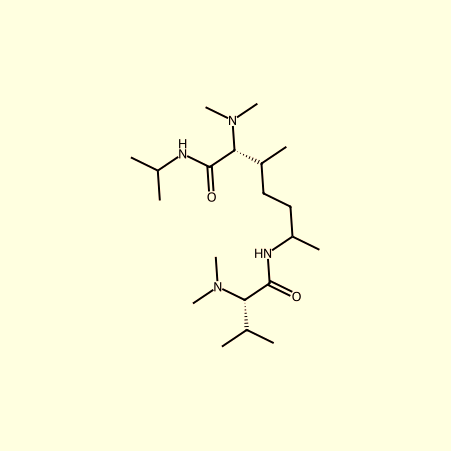 CC(C)NC(=O)[C@@H](C(C)CCC(C)NC(=O)[C@H](C(C)C)N(C)C)N(C)C